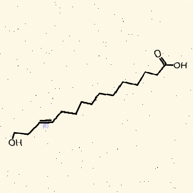 O=C(O)CCCCCCCCCC/C=C/CCO